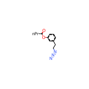 CCCC(=O)Oc1cccc(CCN=[N+]=[N-])c1